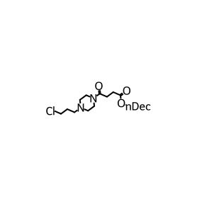 CCCCCCCCCCOC(=O)CCC(=O)N1CCN(CCCCl)CC1